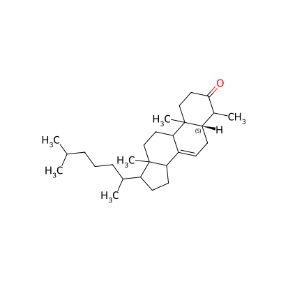 CC(C)CCCC(C)C1CCC2C3=CC[C@H]4C(C)C(=O)CCC4(C)C3CCC21C